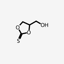 OCC1COC(=S)O1